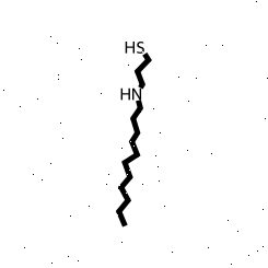 CCCCCCCCCCCNCCCS